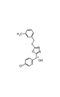 Cc1cccc(CSc2nnc([C@H](O)c3ccc(Cl)cc3)o2)c1